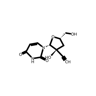 C#C[C@@]1(O)C[C@@H](CO)O[C@H]1n1ccc(=O)[nH]c1=O